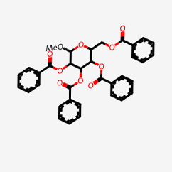 COC1OC(COC(=O)c2ccccc2)C(OC(=O)c2ccccc2)C(OC(=O)c2ccccc2)C1OC(=O)c1ccccc1